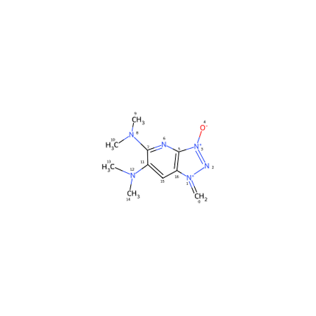 C=[N+]1N=[N+]([O-])c2nc(N(C)C)c(N(C)C)cc21